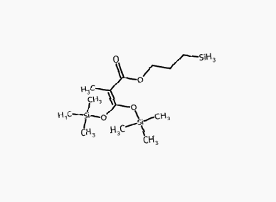 CC(C(=O)OCCC[SiH3])=C(O[Si](C)(C)C)O[Si](C)(C)C